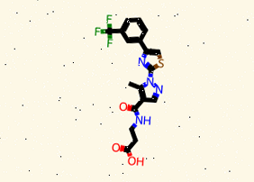 Cc1c(C(=O)NCCC(=O)O)cnn1-c1nc(-c2cccc(C(F)(F)F)c2)cs1